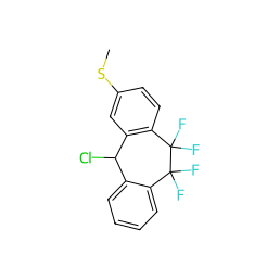 CSc1ccc2c(c1)C(Cl)c1ccccc1C(F)(F)C2(F)F